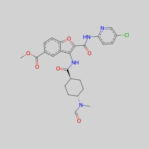 COC(=O)c1ccc2oc(C(=O)Nc3ccc(Cl)cn3)c(NC(=O)[C@H]3CC[C@H](N(C)C=O)CC3)c2c1